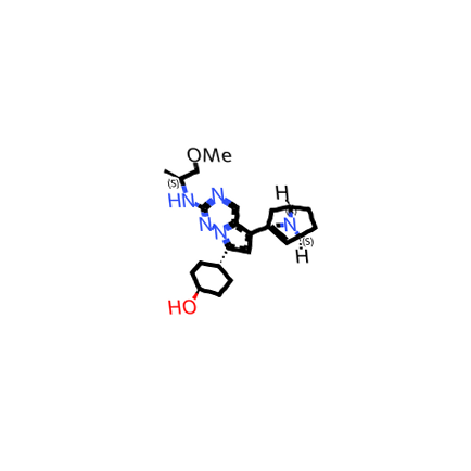 COC[C@H](C)Nc1ncc2c(C3=C[C@@H]4CC[C@H](C3)N4C)cc([C@H]3CC[C@H](O)CC3)n2n1